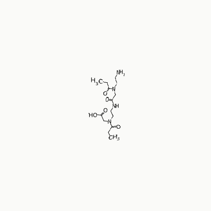 CCC(=O)N(CCNC(=O)CN(CCN)C(=O)CC)CC(=O)O